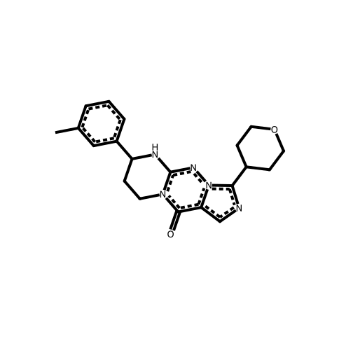 Cc1cccc(C2CCn3c(nn4c(C5CCOCC5)ncc4c3=O)N2)c1